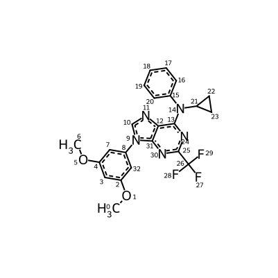 COc1cc(OC)cc(-n2cnc3c(N(c4ccccc4)C4CC4)nc(C(F)(F)F)nc32)c1